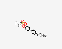 CCCCCCCCCCc1ccc(-c2ccc(OS(=O)(=O)C(F)(F)F)cc2)cc1